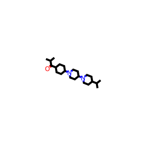 CC(C)C(=O)C1CCC(N2CCC(N3CCC(C(C)C)CC3)CC2)CC1